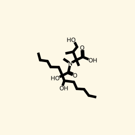 CCCCCC(O)C(O)(CCCCC)C(=O)N(C)C(C)(C(=O)O)C(C)CO